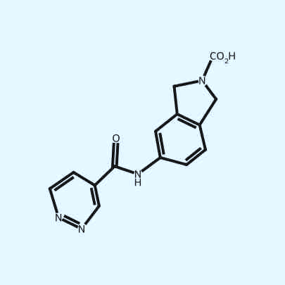 O=C(Nc1ccc2c(c1)CN(C(=O)O)C2)c1ccnnc1